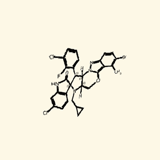 Cc1c(Br)ccc2nn3c(c12)OC[C@H]1[C@@H]3[C@H](c2cccc(Cl)c2F)[C@]2(C(=O)Nc3cc(Cl)ccc32)N1CC1CC1